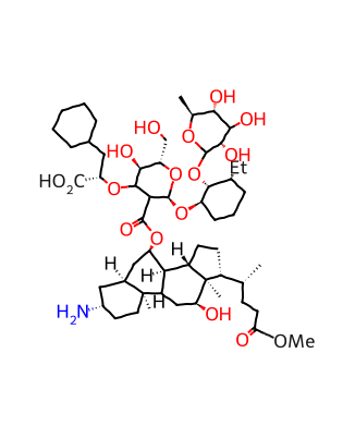 CC[C@@H]1CCC[C@@H](O[C@@H]2O[C@@H](CO)[C@H](O)C(O[C@@H](CC3CCCCC3)C(=O)O)C2C(=O)O[C@@H]2C[C@@H]3C[C@@H](N)CC[C@]3(C)[C@H]3C[C@H](O)[C@]4(C)[C@@H]([C@H](C)CCC(=O)OC)CC[C@H]4[C@H]23)[C@@H]1OC1O[C@@H](C)[C@H](O)C(O)[C@@H]1O